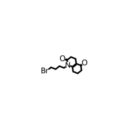 O=C1CCCC2=C1CCC(=O)N2CCCCBr